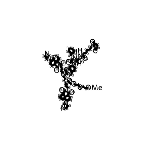 COCCOCCOCC(=O)N(CCCN(CCN1C(=O)c2cccc3c(-n4ccnc4)ccc(c23)C1=O)C(=O)OCc1ccc(NC(=O)[C@H](Cc2ccccc2)NC(=O)[C@H](C)NC(=O)CCCCCN2C(=O)C=CC2=O)cc1)CCN1C(=O)c2cccc3c(-n4ccnc4)ccc(c23)C1=O